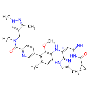 COc1c(N/C(=C/C(=N)NC(=O)C2CC2)c2nc(C)c[nH]2)ccc(C)c1-c1ccc(C(=O)N(C)Cc2cn(C)nc2C)nc1